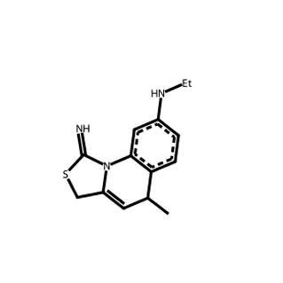 CCNc1ccc2c(c1)N1C(=N)SCC1=CC2C